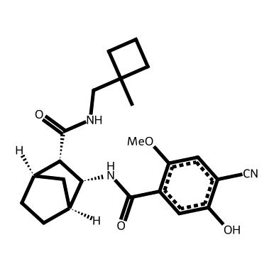 COc1cc(C#N)c(O)cc1C(=O)N[C@@H]1[C@H]2CC[C@H](C2)[C@@H]1C(=O)NCC1(C)CCC1